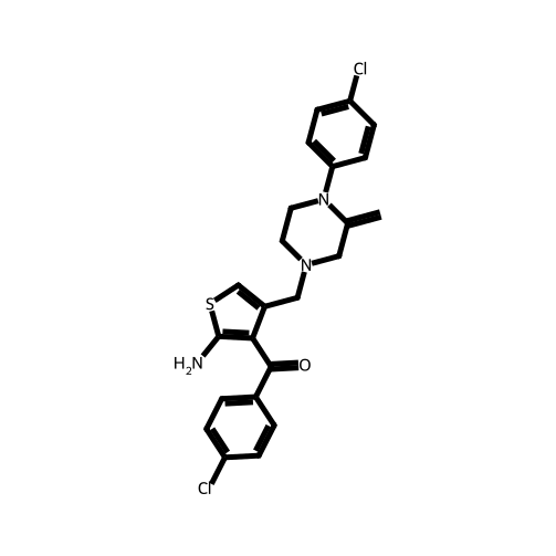 C=C1CN(Cc2csc(N)c2C(=O)c2ccc(Cl)cc2)CCN1c1ccc(Cl)cc1